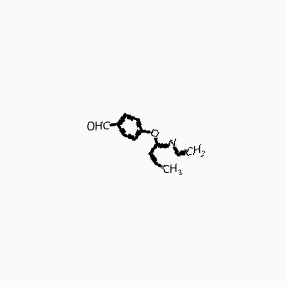 C=C/N=C(\C=C/C)Oc1ccc(C=O)cc1